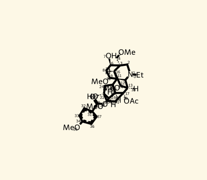 CCN1C[C@]2(COC)[C@H](O)C[C@H](OC)[C@]34C1[C@H]([C@H](OC)[C@H]23)[C@@]1(OC(C)=O)C[C@H](OC)[C@@]2(O)C[C@@H]4[C@@H]1[C@H]2OC(=O)c1ccc(OC)cc1